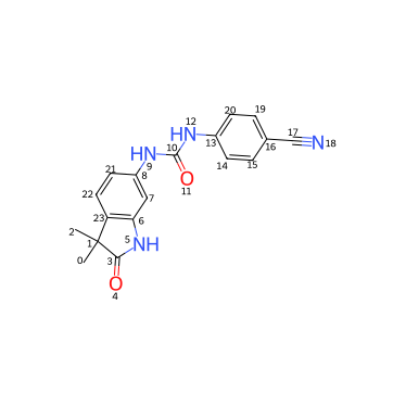 CC1(C)C(=O)Nc2cc(NC(=O)Nc3ccc(C#N)cc3)ccc21